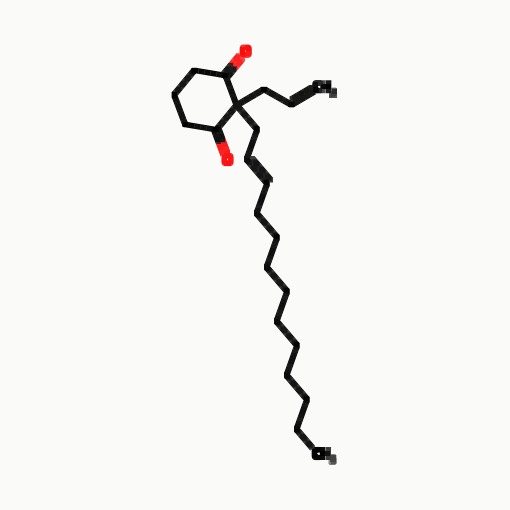 C=CCC1(CC=CCCCCCCCCCC)C(=O)CCCC1=O